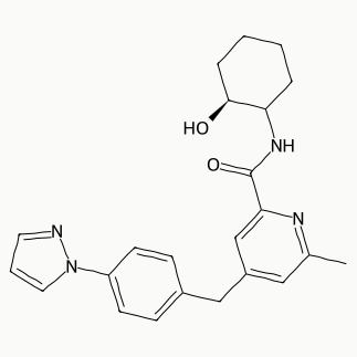 Cc1cc(Cc2ccc(-n3cccn3)cc2)cc(C(=O)NC2CCCC[C@@H]2O)n1